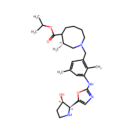 Cc1cc(CN2CCCCC(C(=O)OC(C)C)[C@@H](C)C2)c(C)c(Nc2ncc([C@H]3NCC[C@H]3O)o2)c1